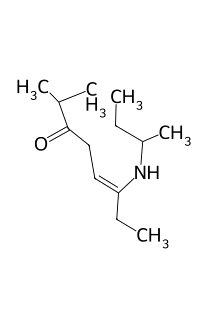 CCC(=CCC(=O)C(C)C)NC(C)CC